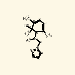 CC(=O)N(Cn1cccn1)C1C(C)=CC=C(C)C1(C)Cl